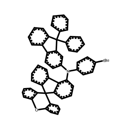 CC(C)(C)c1ccc(N(c2ccc3c(c2)C(c2ccccc2)(c2ccccc2)c2ccccc2-3)c2cccc3c2-c2ccccc2C32c3ccccc3Oc3ccccc32)cc1